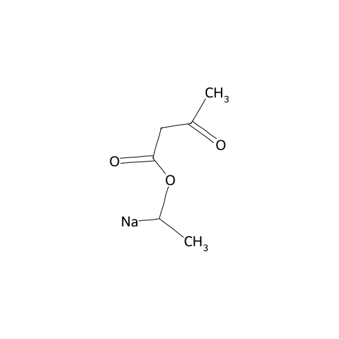 CC(=O)CC(=O)O[CH](C)[Na]